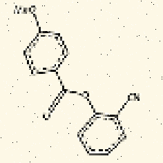 COc1ccc(C(=O)Oc2ccccc2C#N)cc1